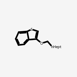 CCCCCCCCOc1csc2ccccc12